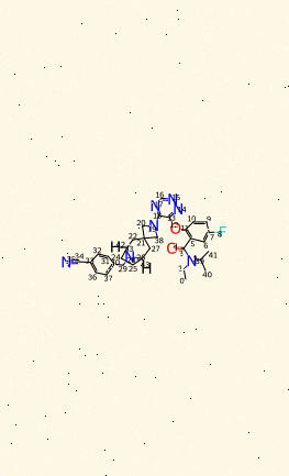 CCN(C(=O)c1cc(F)ccc1Oc1nncnc1N1CC2(C[C@H]3CC[C@@H](C2)N3Cc2ccc(C#N)cc2)C1)C(C)C